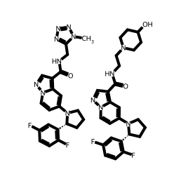 Cn1nnnc1CNC(=O)c1cnn2ccc(N3CCC[C@@H]3c3cc(F)ccc3F)cc12.O=C(NCCN1CCC(O)CC1)c1cnn2ccc(N3CCC[C@@H]3c3cc(F)ccc3F)cc12